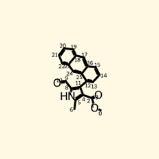 COC(=O)c1c(C)[nH]c(C=O)c1-c1cccc2cc3ccccc3cc12